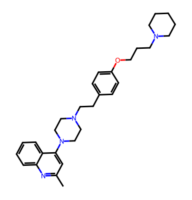 Cc1cc(N2CCN(CCc3ccc(OCCCN4CCCCC4)cc3)CC2)c2ccccc2n1